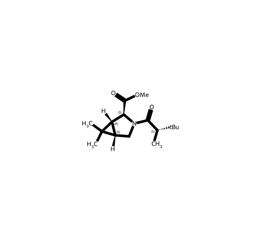 COC(=O)[C@@H]1[C@@H]2[C@H](CN1C(=O)[C@@H](C)C(C)(C)C)C2(C)C